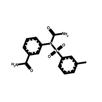 Cc1cccc(S(=O)(=O)N(C(N)=O)c2cccc(C(N)=O)c2)c1